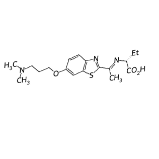 CC[C@@H](/N=C(\C)c1nc2ccc(OCCCN(C)C)cc2s1)C(=O)O